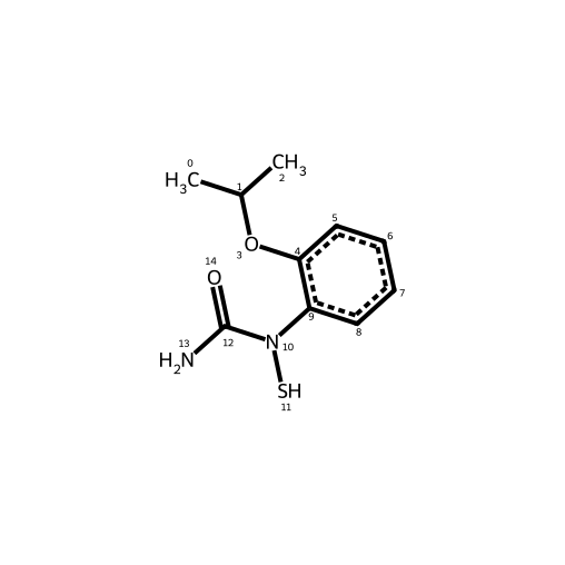 CC(C)Oc1ccccc1N(S)C(N)=O